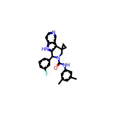 Cc1cc(C)cc(NC(=O)N2CC3(CC3)c3c([nH]c4ccncc34)C2c2cccc(F)c2)c1